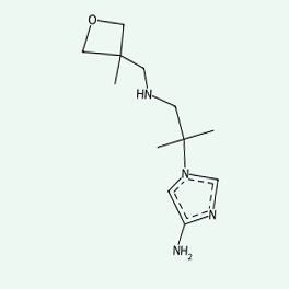 CC1(CNCC(C)(C)n2cnc(N)c2)COC1